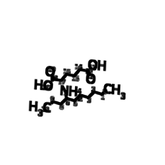 CCCCCCC(N)CCC.O=C(O)CCCCC(=O)O